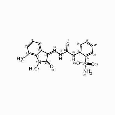 Cc1cccc2c1N(C)C(=O)C2=NNC(=S)Nc1ccccc1S(N)(=O)=O